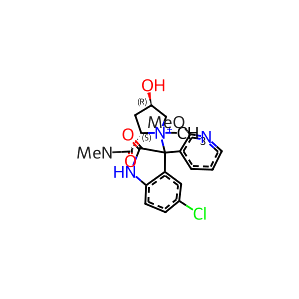 CNC(=O)[C@@H]1C[C@@H](O)C[N+]1(C)C1(c2cccnc2OC)C(=O)Nc2ccc(Cl)cc21